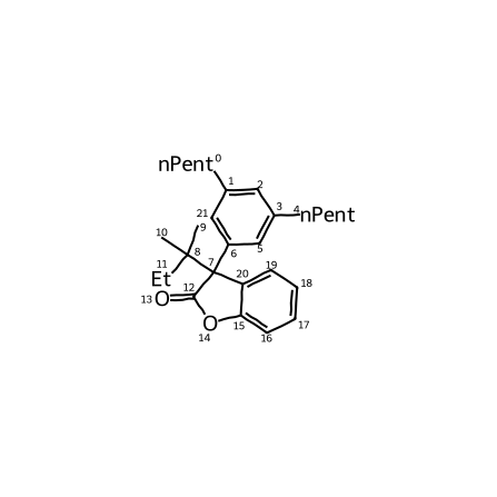 CCCCCc1cc(CCCCC)cc(C2(C(C)(C)CC)C(=O)Oc3ccccc32)c1